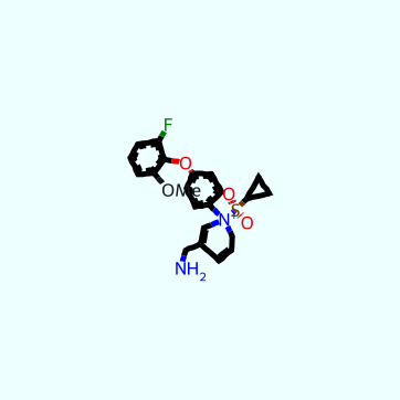 COc1cccc(F)c1Oc1ccc([N+]2(S(=O)(=O)C3CC3)C=C(CN)C=CC2)cc1